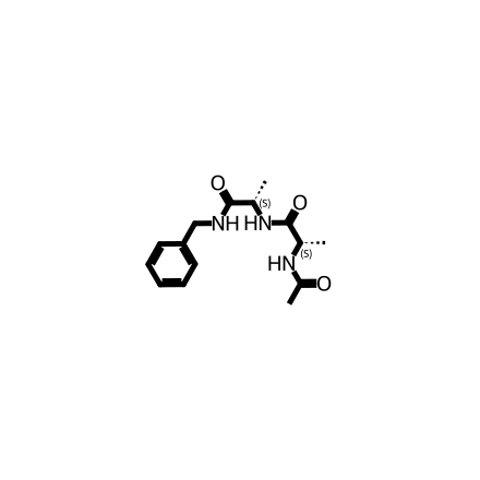 CC(=O)N[C@@H](C)C(=O)N[C@@H](C)C(=O)NCc1ccccc1